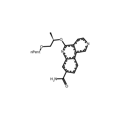 CCCCCOC[C@@H](C)Oc1nc2cc(C(N)=O)ccc2c2cnccc12